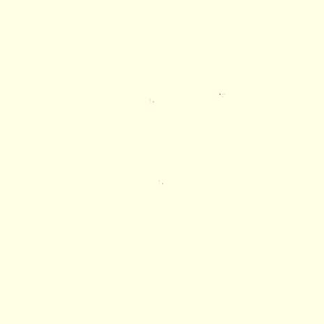 CCOC(=O)CCCC(CCCN(c1ccc(OC)cc1)S(=O)(=O)O)c1cc(C)c2ccccc2n1